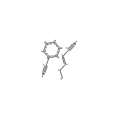 CCC=CC#N.N#Cc1ccccc1